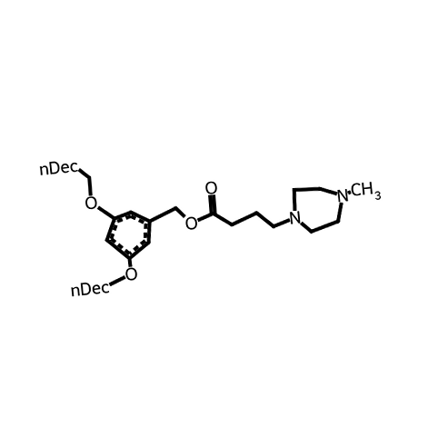 CCCCCCCCCCCOc1cc(COC(=O)CCCN2CCN(C)CC2)cc(OCCCCCCCCCC)c1